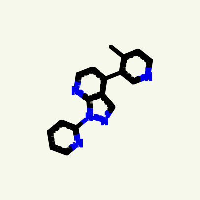 Cc1ccncc1-c1ccnc2c1cnn2-c1ccccn1